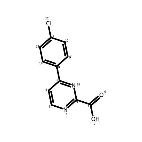 O=C(O)c1nccc(-c2ccc(Cl)cc2)n1